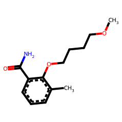 COCCCCOc1c(C)cccc1C(N)=O